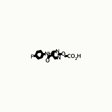 O=C(O)COc1ncc(C(=O)Nc2ccc(F)cc2)cn1